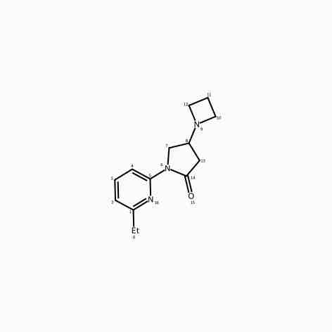 CCc1cccc(N2CC(N3CCC3)CC2=O)n1